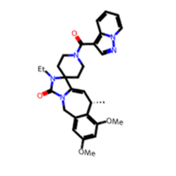 CCN1C(=O)N2Cc3cc(OC)cc(OC)c3[C@@H](C)C=C2C12CCN(C(=O)c1cnn3ccccc13)CC2